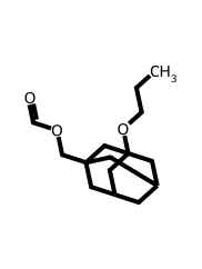 CCCOC12CC3CC(CC(COC=O)(C3)C1)C2